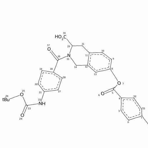 Cc1ccc(C(=O)Oc2ccc3c(c2)CN(C(=O)c2ccc(NC(=O)OC(C)(C)C)cc2)C(C(=O)O)C3)cc1